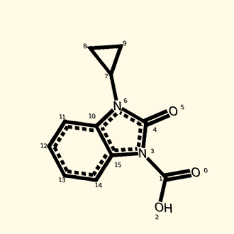 O=C(O)n1c(=O)n(C2CC2)c2ccccc21